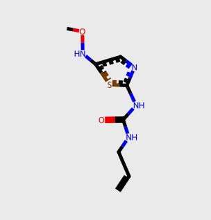 C=CCNC(=O)Nc1ncc(NOC)s1